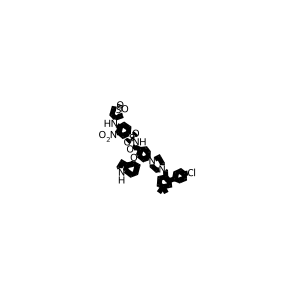 CC1(C)CCC(CN2CCN(c3ccc(C(=O)NS(=O)(=O)c4ccc(NC5CCS(=O)(=O)C5)c([N+](=O)[O-])c4)c(Oc4cccc5[nH]ccc45)c3)CC2)=C(c2ccc(Cl)cc2)C1